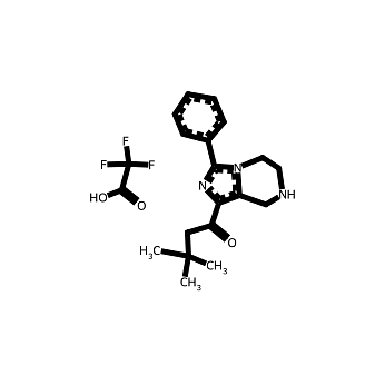 CC(C)(C)CC(=O)c1nc(-c2ccccc2)n2c1CNCC2.O=C(O)C(F)(F)F